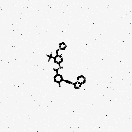 Cc1ccc(C(=O)Nc2ccc(Cn3ccnc3)c(C(F)(F)F)c2)cc1C#Cc1cnc2cnccn12